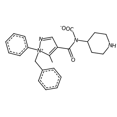 CC1=C(C(=O)N(C(=O)[O-])C2CCNCC2)C=N[N+]1(Cc1ccccc1)c1ccccc1